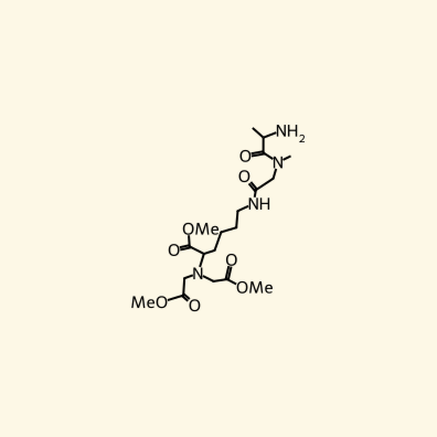 COC(=O)CN(CC(=O)OC)C(CCCCNC(=O)CN(C)C(=O)C(C)N)C(=O)OC